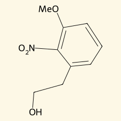 COc1cccc(CCO)c1[N+](=O)[O-]